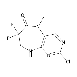 CN1C(=O)C(F)(F)CNc2nc(Cl)ncc21